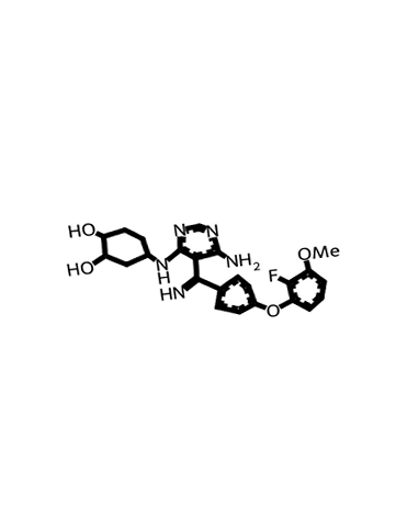 COc1cccc(Oc2ccc(C(=N)c3c(N)ncnc3NC3CCC(O)C(O)C3)cc2)c1F